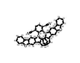 N#Cc1ccc(C#N)c(-n2c3ccccc3c3cc4oc5ccccc5c4cc32)c1-n1c2ccccc2c2cc3oc4ccccc4c3cc21